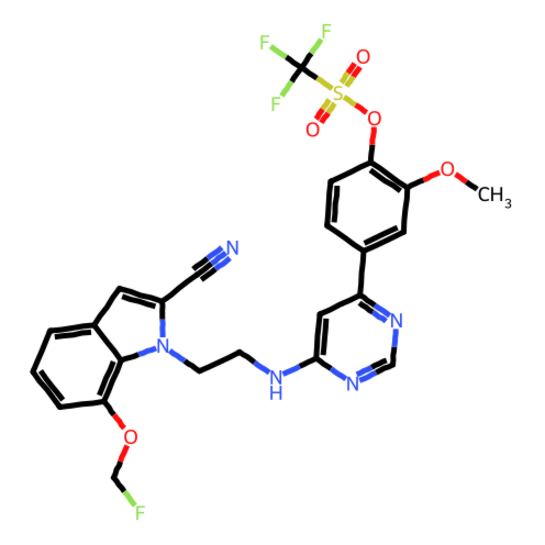 COc1cc(-c2cc(NCCn3c(C#N)cc4cccc(OCF)c43)ncn2)ccc1OS(=O)(=O)C(F)(F)F